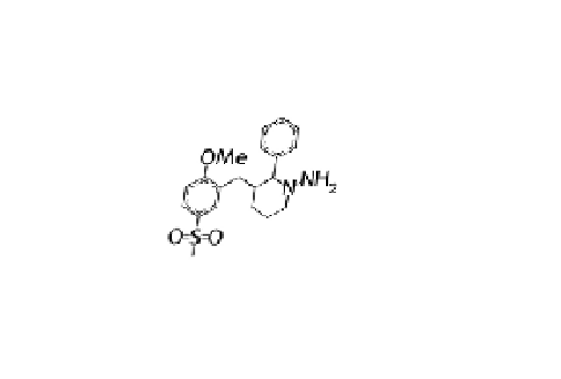 COc1ccc(S(C)(=O)=O)cc1CC1CCCN(N)C1c1ccccc1